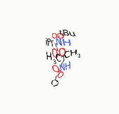 CC(C)[C@H](NC(=O)OC(C)(C)C)C(=O)OC(C)(C)CCNC(=O)OCc1ccccc1